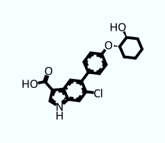 O=C(O)c1c[nH]c2cc(Cl)c(-c3ccc(O[C@H]4CCCC[C@@H]4O)cc3)cc12